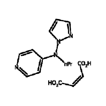 CCCN(c1ccncc1)n1cccn1.O=C(O)/C=C\C(=O)O